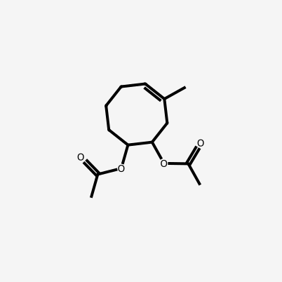 CC(=O)OC1CCCC=C(C)CC1OC(C)=O